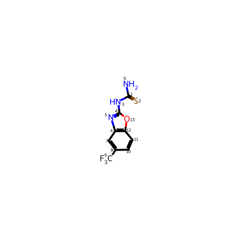 NC(=S)Nc1nc2cc(C(F)(F)F)ccc2o1